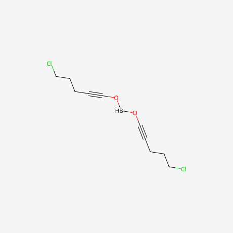 ClCCCC#COBOC#CCCCCl